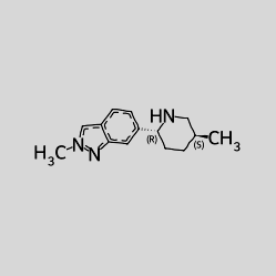 C[C@H]1CC[C@H](c2ccc3cn(C)nc3c2)NC1